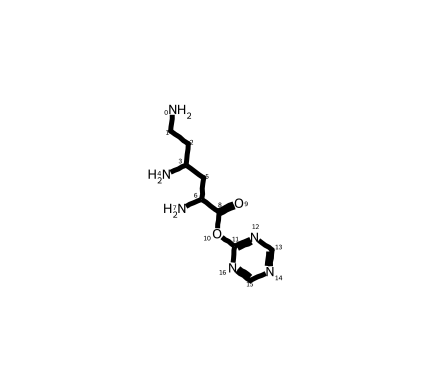 NCCC(N)CC(N)C(=O)Oc1ncncn1